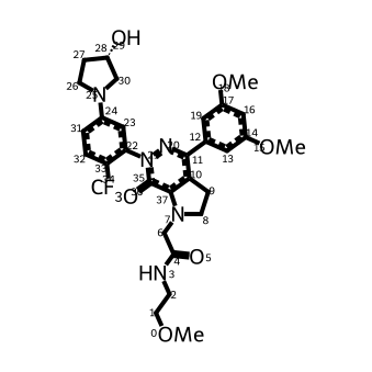 COCCNC(=O)CN1CCc2c(-c3cc(OC)cc(OC)c3)nn(-c3cc(N4CC[C@H](O)C4)ccc3C(F)(F)F)c(=O)c21